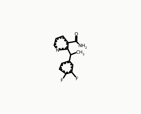 CC(c1ccc(F)c(F)c1)c1ncccc1C(N)=O